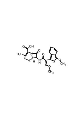 CO/N=C(/C(=O)NC1C(=O)N2C(C(=O)O)=C(C)CS[C@H]12)c1sc(OC)c2ccccc12